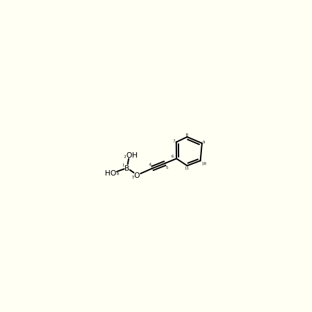 OB(O)OC#Cc1ccccc1